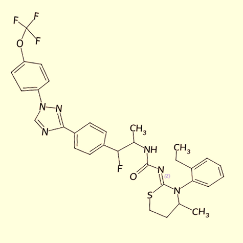 CCc1ccccc1N1/C(=N/C(=O)NC(C)C(F)c2ccc(-c3ncn(-c4ccc(OC(F)(F)F)cc4)n3)cc2)SCCC1C